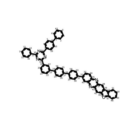 c1ccc(-c2ccc(-c3nc(-c4ccccc4)nc(-c4cccc(-c5ccc(-c6ccc(-c7ccc8nc9cc%10c(cc9nc8c7)oc7ccccc7%10)cc6)cc5)c4)n3)cc2)cc1